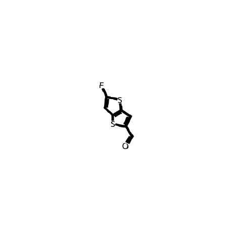 O=Cc1cc2sc(F)cc2s1